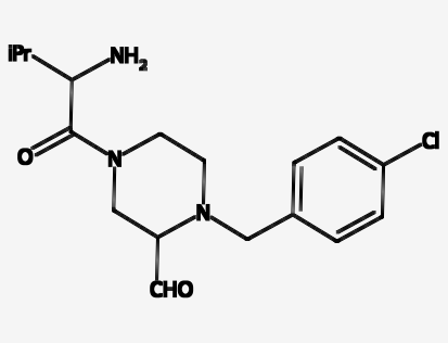 CC(C)C(N)C(=O)N1CCN(Cc2ccc(Cl)cc2)C(C=O)C1